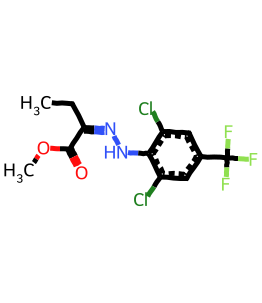 CCC(=NNc1c(Cl)cc(C(F)(F)F)cc1Cl)C(=O)OC